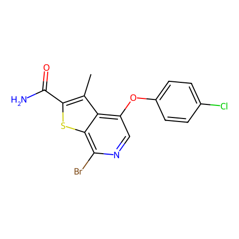 Cc1c(C(N)=O)sc2c(Br)ncc(Oc3ccc(Cl)cc3)c12